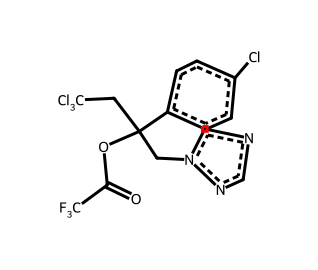 O=C(OC(Cn1cncn1)(CC(Cl)(Cl)Cl)c1ccc(Cl)cc1)C(F)(F)F